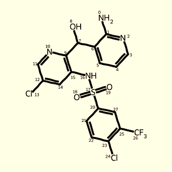 Nc1ncccc1C(O)c1ncc(Cl)cc1NS(=O)(=O)c1ccc(Cl)c(C(F)(F)F)c1